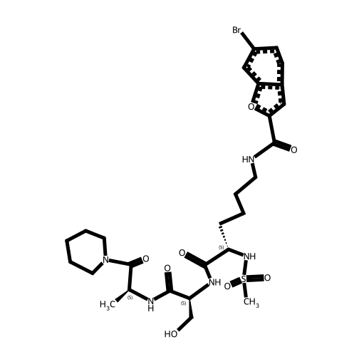 C[C@H](NC(=O)[C@H](CO)NC(=O)[C@H](CCCCNC(=O)c1cc2ccc(Br)cc2o1)NS(C)(=O)=O)C(=O)N1CCCCC1